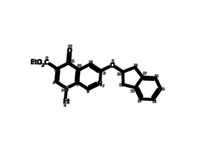 CCOC(=O)c1cn(CC)c2cnc(OC3Cc4ccccc4C3)cc2c1=O